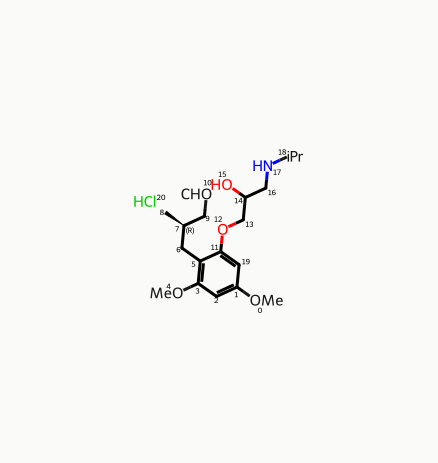 COc1cc(OC)c(C[C@@H](C)CC=O)c(OCC(O)CNC(C)C)c1.Cl